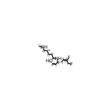 C=C[C@@H](C/C=C(/F)CF)NC(O)CCCCNC